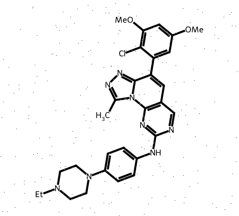 CCN1CCN(c2ccc(Nc3ncc4cc(-c5cc(OC)cc(OC)c5Cl)c5nnc(C)n5c4n3)cc2)CC1